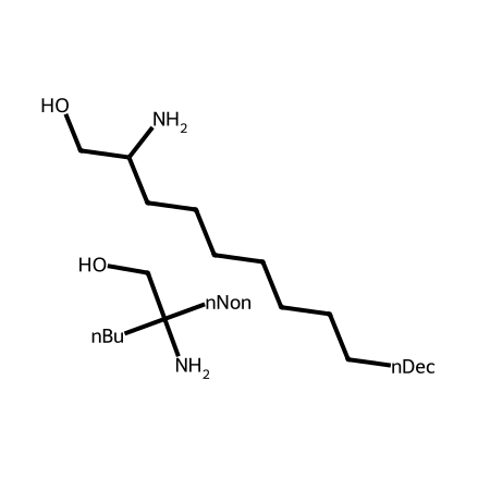 CCCCCCCCCC(N)(CO)CCCC.CCCCCCCCCCCCCCCCCC(N)CO